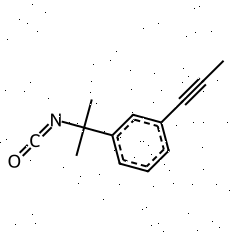 CC#Cc1cccc(C(C)(C)N=C=O)c1